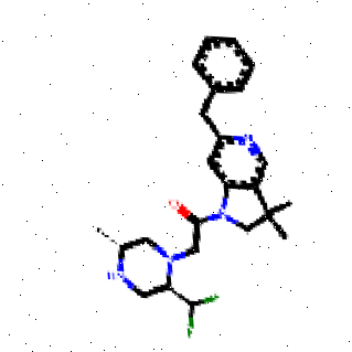 C[C@@H]1CN(CC(=O)N2CC(C)(C)c3cnc(Cc4ccccc4)cc32)[C@@H](C(F)F)CN1